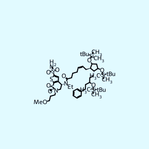 CCN(C(=O)CCC/C=C\C[C@H]1C(O[Si](C)(C)C(C)(C)C)CC(O[Si](C)(C)C(C)(C)C)[C@@H]1CCC(CCc1ccccc1)O[Si](C)(C)C(C)(C)C)[C@@H]1CN(CCCOC)S(=O)(=O)c2sc(S(N)(=O)=O)cc21